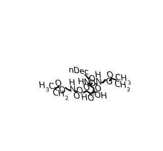 C=C(C)C(=O)OCCNC(=O)OCC1O[C@@](NC(=O)CCCCCCCCCCC)(OC(=O)NCCOC(=O)C(=C)C)C[C@@H](O)[C@@H]1O